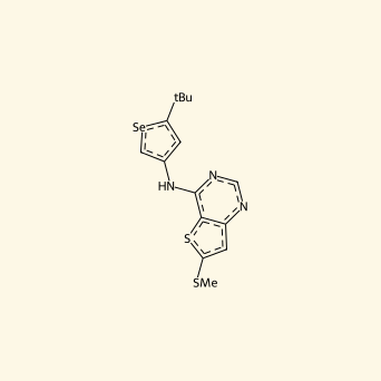 CSc1cc2ncnc(Nc3c[se]c(C(C)(C)C)c3)c2s1